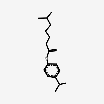 CC(C)CCCCC(=O)Nc1ccc(C(C)C)cc1